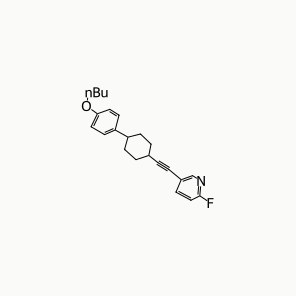 CCCCOc1ccc(C2CCC(C#Cc3ccc(F)nc3)CC2)cc1